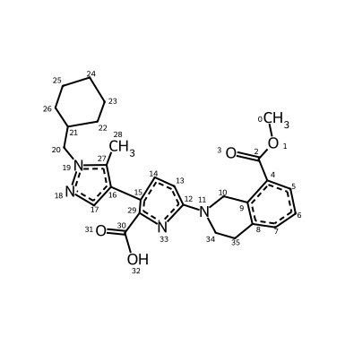 COC(=O)c1cccc2c1CN(c1ccc(-c3cnn(CC4CCCCC4)c3C)c(C(=O)O)n1)CC2